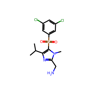 CC(C)c1nc(CN)n(C)c1S(=O)(=O)c1cc(Cl)cc(Cl)c1